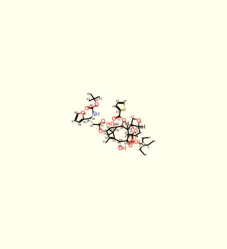 CC[Si](CC)(CC)O[C@H]1C[C@H]2OC[C@@]2(OC(C)=O)[C@H]2[C@H](OC(=O)c3cccs3)[C@]3(O)C[C@H](OC(=O)C[C@@H](NC(=O)OC(C)(C)C)c4ccco4)C(C)=C([C@@H](O)C(=O)[C@]12C)C3(C)C